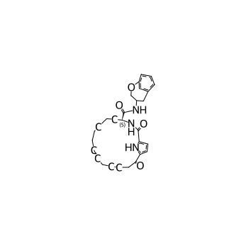 O=C1CCCCCCCCCCC[C@@H](C(=O)NC2COc3cccc(c3)C2)NC(=O)c2ccc1[nH]2